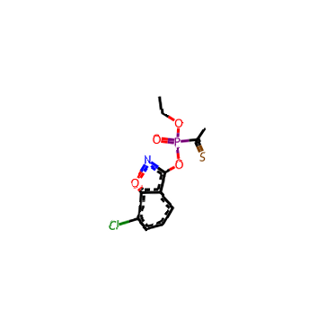 CCOP(=O)(Oc1noc2c(Cl)cccc12)C(C)=S